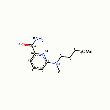 COCCCN(C)c1cc[c]c(C(N)=O)n1